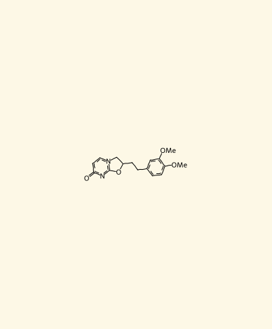 COc1ccc(CCC2Cn3ccc(=O)nc3O2)cc1OC